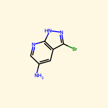 Nc1cnc2[nH]nc(Br)c2c1